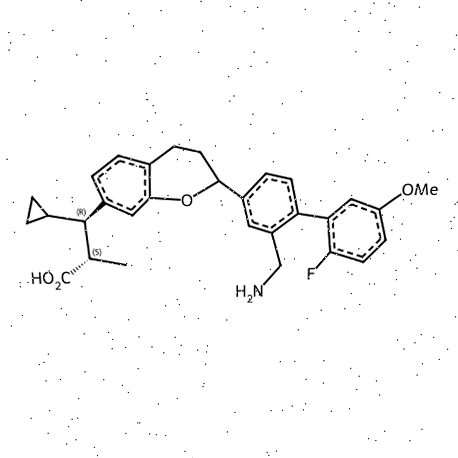 COc1ccc(F)c(-c2ccc(C3CCc4ccc([C@H](C5CC5)[C@H](C)C(=O)O)cc4O3)cc2CN)c1